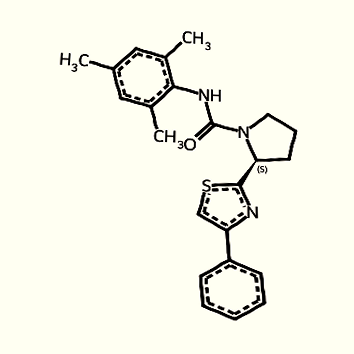 Cc1cc(C)c(NC(=O)N2CCC[C@H]2c2nc(-c3ccccc3)cs2)c(C)c1